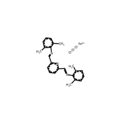 Cc1cccc(C)c1N=Cc1cccc(C=Nc2c(C)cccc2C)n1.[Cl-].[Cl-].[Cl-].[Fe+3]